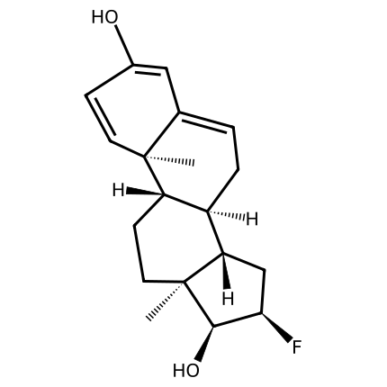 C[C@]12CC[C@H]3[C@@H](CC=C4C=C(O)C=C[C@@]43C)[C@@H]1C[C@@H](F)[C@H]2O